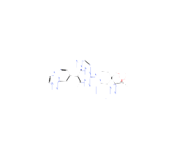 Cc1nc(N2CCC3(CC2)CO[C@@H](C)[C@H]3N)n2ccnc2c1-c1ccn2ccnc2c1